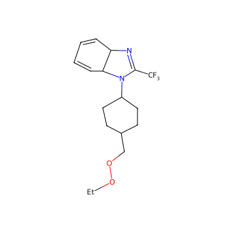 CCOOCC1CCC(N2C(C(F)(F)F)=NC3C=CC=CC32)CC1